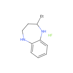 CCC1CCNc2ccccc2N1.F